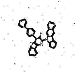 CCC1C(n2c3ccccc3c3cc4ccccc4cc32)=Nc2c(oc3ccccc23)C1c1ccc(-c2ccccc2)cc1